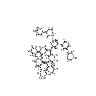 c1ccc(-c2cccc(-c3nc(-c4cccc(-c5ccccc5)c4)nc(-n4c5ccccc5c5c4ccc4c6ccccc6n(-c6cc(-c7ccccc7)ccc6-c6ccccc6)c45)n3)c2)cc1